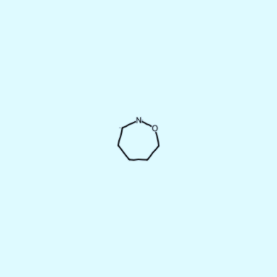 [CH]1CCCCO[N]1